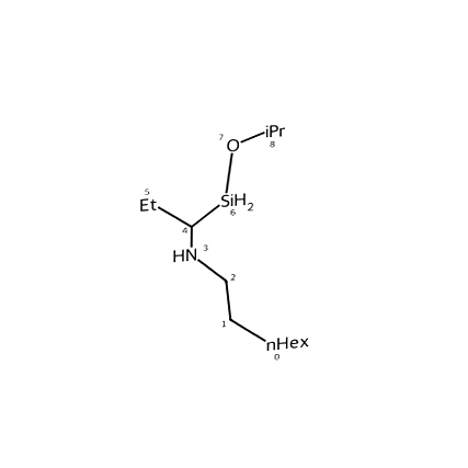 CCCCCCCCNC(CC)[SiH2]OC(C)C